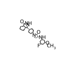 COc1cc(F)cc(NC2CCN(c3ccc(-c4n[nH]c(=O)c5ccccc45)cc3)C2=O)c1